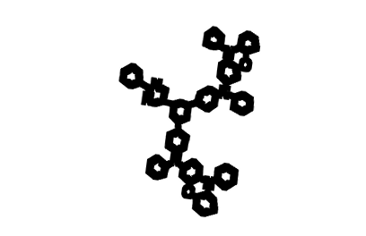 c1ccc(-c2ncc(-c3cc(-c4ccc(N(c5ccccc5)c5ccc6c(c5)Oc5ccccc5N6c5ccccc5)cc4)cc(-c4ccc(N(c5ccccc5)c5ccc6c(c5)Oc5ccccc5N6c5ccccc5)cc4)c3)cn2)cc1